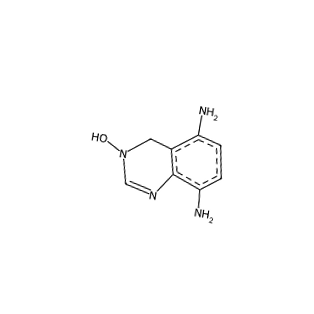 Nc1ccc(N)c2c1CN(O)C=N2